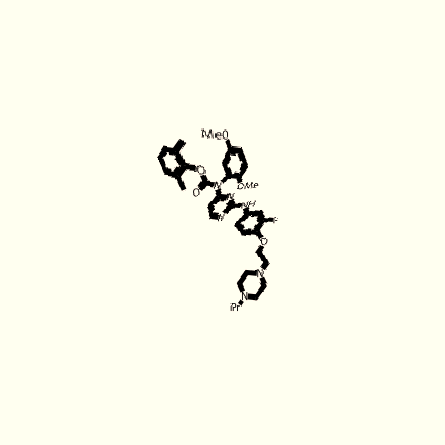 COc1ccc(OC)c(N(C(=O)Oc2c(C)cccc2C)c2ccnc(Nc3ccc(OCCN4CCN(C(C)C)CC4)c(F)c3)n2)c1